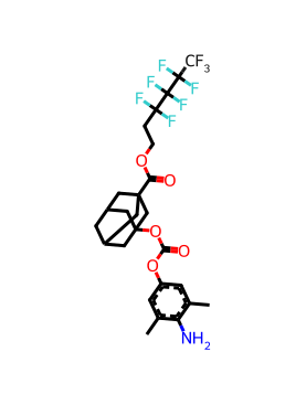 Cc1cc(OC(=O)OC23CC4CC(C2)CC(C(=O)OCCC(F)(F)C(F)(F)C(F)(F)C(F)(F)F)(C4)C3)cc(C)c1N